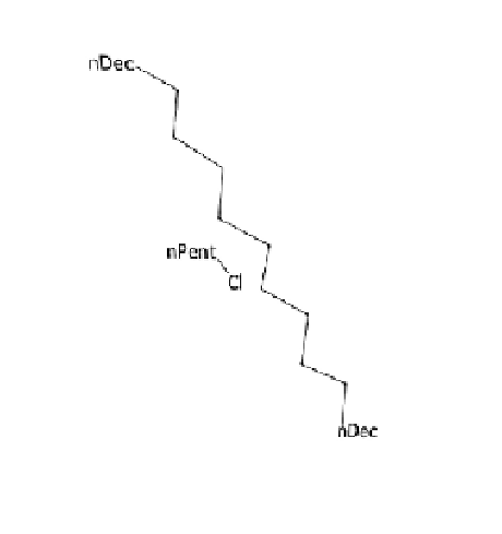 CCCCCCCCCCCCCCCCCCCCCCCCCCCCC.CCCCCCl